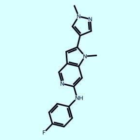 Cn1cc(-c2cc3cnc(Nc4ccc(F)cc4)cc3n2C)cn1